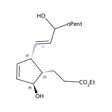 CCCCCC(O)/C=C/[C@H]1C=C[C@H](O)[C@H]1CCC(=O)OCC